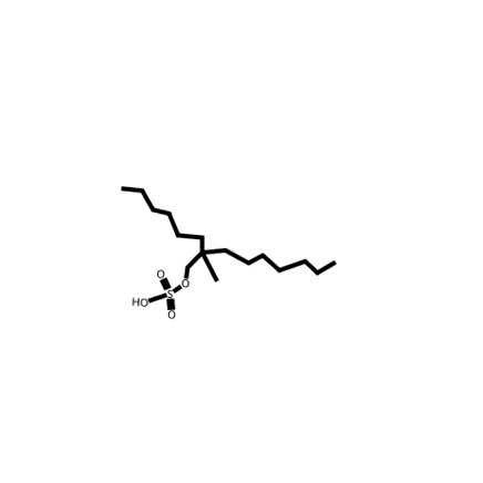 CCCCCCCC(C)(CCCCCC)COS(=O)(=O)O